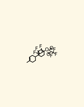 CC1=CCC(C23CCC(OS(=O)(=O)C(F)(F)F)(CC2)C(F)C3(F)F)CC1